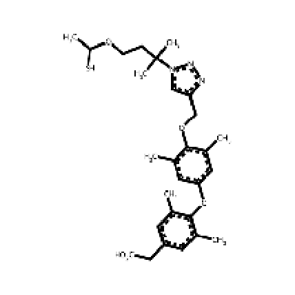 Cc1cc(Oc2c(C)cc(CC(=O)O)cc2C)cc(C)c1OCc1cn(C(C)(C)CCOC(C)S)nn1